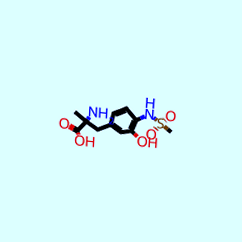 CC(N)(Cc1ccc(NS(C)(=O)=O)c(O)c1)C(=O)O